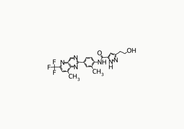 Cc1cc(-c2ncc3nc(C(F)(F)F)cc(C)c3n2)ccc1NC(=O)c1cc(CCO)n[nH]1